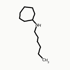 CCCCCCNC1CCCCCC1